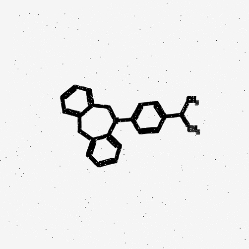 CC(C)c1ccc(N2Cc3ccccc3Cc3ccccc32)cc1